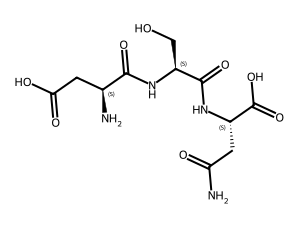 NC(=O)C[C@H](NC(=O)[C@H](CO)NC(=O)[C@@H](N)CC(=O)O)C(=O)O